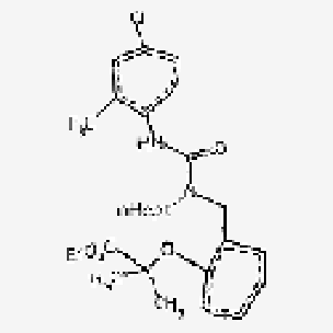 CCCCCCCN(Cc1ccccc1OC(C)(C)C(=O)OCC)C(=O)Nc1ccc(Cl)cc1C(F)(F)F